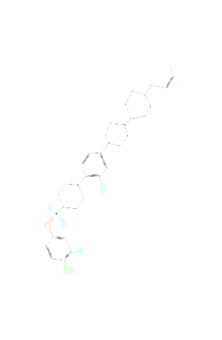 C/C=C\CC1CCC(C2CCC(c3ccc(C4CCC(C(F)(F)Oc5ccc(Cl)c(F)c5)CC4)c(F)c3)CC2)CC1